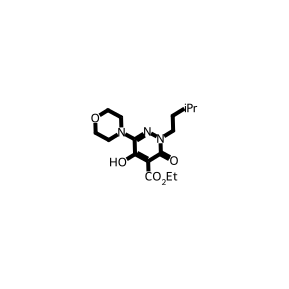 CCOC(=O)c1c(O)c(N2CCOCC2)nn(CCC(C)C)c1=O